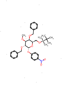 CO[C@H]1[C@@H](OCc2ccccc2)[C@@H](CO[Si](C)(C)C(C)(C)C)O[C@H](Oc2ccc([N+](=O)[O-])cc2)[C@@H]1OCc1ccccc1